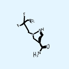 NC(=O)C1=CNN(CC(F)(F)F)C1